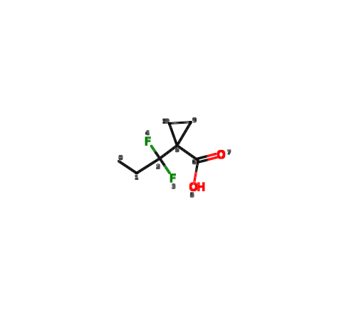 CCC(F)(F)C1(C(=O)O)CC1